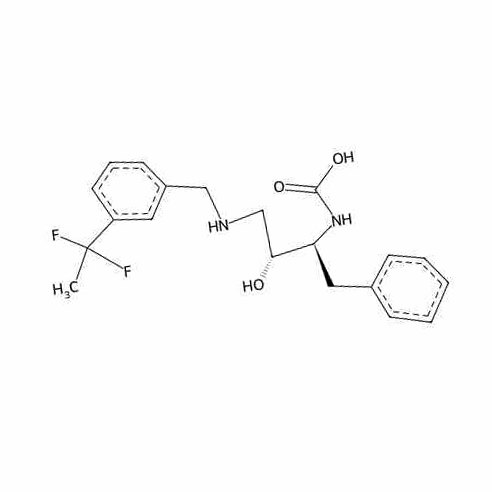 CC(F)(F)c1cccc(CNC[C@@H](O)[C@H](Cc2ccccc2)NC(=O)O)c1